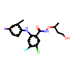 Cc1cc(I)ccc1Nc1cc(F)c(Cl)cc1C(=O)NOC(C)CCO